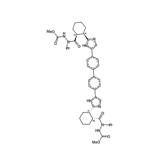 COC(=O)NN(C(=O)[C@H]1CCCC[C@H]1c1ncc(-c2ccc(-c3ccc(-c4cnc([C@H]5CCCC[C@H]5C(=O)N(NC(=O)OC)C(C)C)[nH]4)cc3)cc2)[nH]1)C(C)C